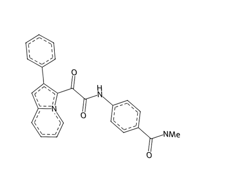 CNC(=O)c1ccc(NC(=O)C(=O)c2c(-c3ccccc3)cc3ccccn23)cc1